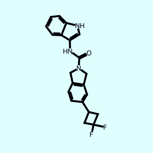 O=C(Nc1c[nH]c2ccccc12)N1Cc2ccc(C3CC(F)(F)C3)cc2C1